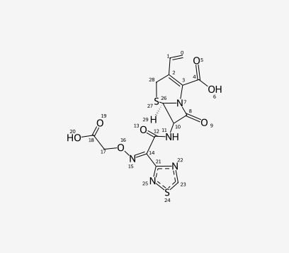 C=CC1=C(C(=O)O)N2C(=O)C(NC(=O)/C(=N\OCC(=O)O)c3ncsn3)[C@H]2SC1